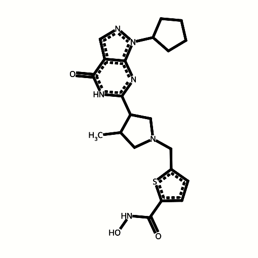 CC1CN(Cc2ccc(C(=O)NO)s2)CC1c1nc2c(cnn2C2CCCC2)c(=O)[nH]1